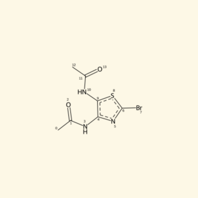 CC(=O)Nc1nc(Br)sc1NC(C)=O